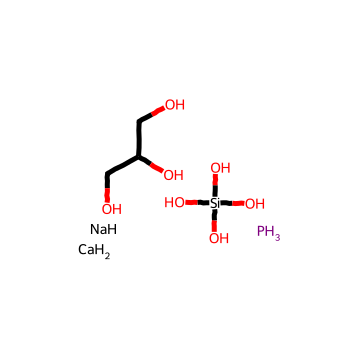 OCC(O)CO.O[Si](O)(O)O.P.[CaH2].[NaH]